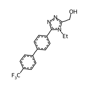 CCn1c(CO)nnc1-c1ccc(-c2ccc(C(F)(F)F)cc2)cc1